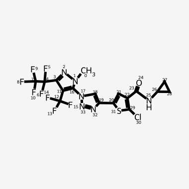 Cn1nc(C(F)(F)C(F)(F)F)c(C(F)(F)F)c1-n1cc(-c2cc(C(=O)NC3CC3)c(Cl)s2)nn1